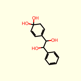 OC(C1=CCC(O)(O)C=C1)C(O)c1ccccc1